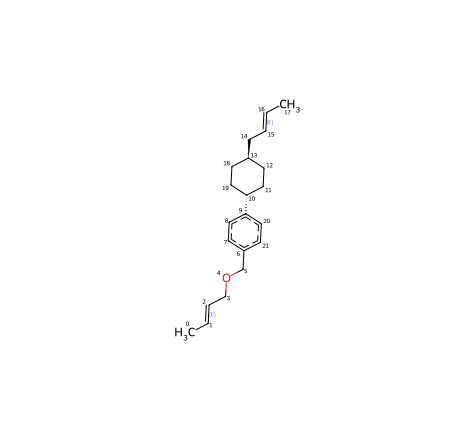 C/C=C/COCc1ccc([C@H]2CC[C@H](C/C=C/C)CC2)cc1